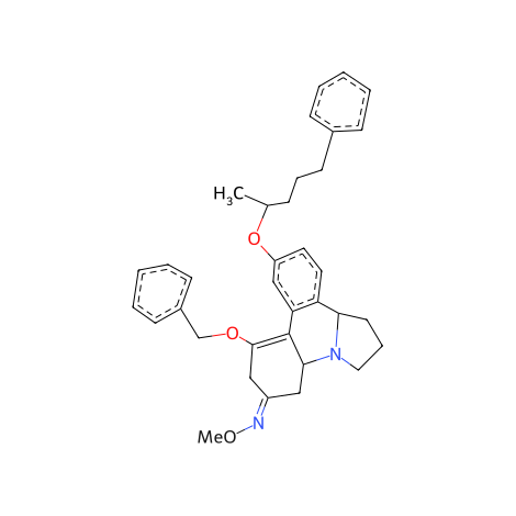 CON=C1CC(OCc2ccccc2)=C2c3cc(OC(C)CCCc4ccccc4)ccc3C3CCCN3C2C1